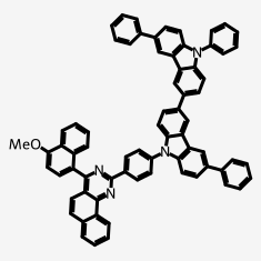 COc1ccc(-c2nc(-c3ccc(-n4c5ccc(-c6ccccc6)cc5c5cc(-c6ccc7c(c6)c6cc(-c8ccccc8)ccc6n7-c6ccccc6)ccc54)cc3)nc3c2ccc2ccccc23)c2ccccc12